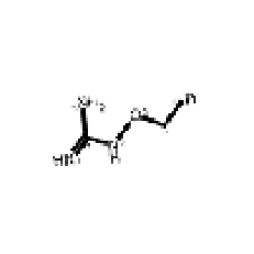 CC(C)CONC(=N)N